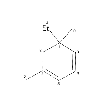 [CH2]C1(CC)C=CC=C(C)C1